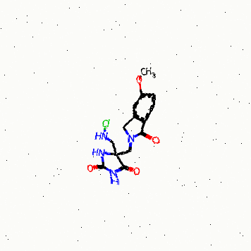 COc1ccc2c(c1)CN(CC1(CNCl)NC(=O)NC1=O)C2=O